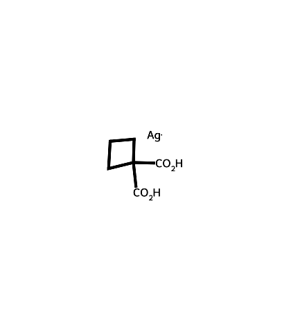 O=C(O)C1(C(=O)O)CCC1.[Ag]